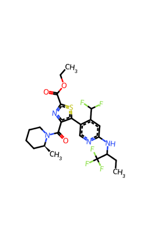 CCOC(=O)c1nc(C(=O)N2CCCC[C@@H]2C)c(-c2cnc(NC(CC)C(F)(F)F)cc2C(F)F)s1